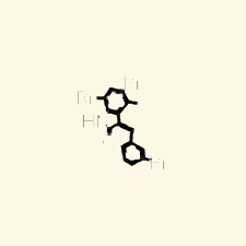 Cc1c(Br)cc(Br)c2c1C(=Cc1cccc(Br)c1)C(=O)N2